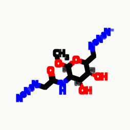 CO[C@H]1OC(CN=[N+]=[N-])[C@H](O)[C@H](O)C1NC(=O)CN=[N+]=[N-]